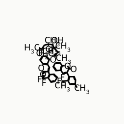 Cc1ccc(-c2cc3ccc(OC(C)(C)CC(C)(C)C(O)C(C)(C)CC(C)(C)Oc4ccc5cc(-c6ccc(C)cc6C(F)(F)F)c(=O)oc5c4)cc3oc2=O)c(C(F)(F)F)c1